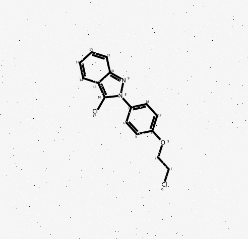 ClCCOc1ccc(-n2nc3ccccc3c2Cl)cc1